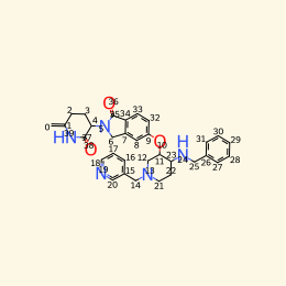 C=C1CCC(N2Cc3cc(OC4CN(Cc5cccnc5)CCC4NCc4ccccc4)ccc3C2=O)C(=O)N1